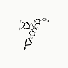 Cn1cnc(S(=O)(=O)[N@@+]2(c3ccc(F)c(F)c3)CC[C@H](c3ccc(F)cc3)C2)c1